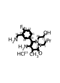 CC(C)CN1C(=O)C(C)C(N)=C(c2ccc(F)c(CN)c2)N1CCO.Cl